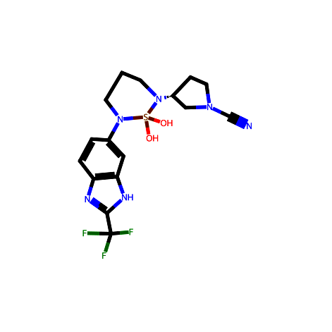 N#CN1CC[C@@H](N2CCCN(c3ccc4nc(C(F)(F)F)[nH]c4c3)S2(O)O)C1